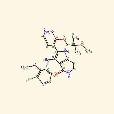 CCc1c(F)cccc1Nc1c(-c2ccncc2OCC(C)(C)OC)[nH]c2c1C(=O)NCC2